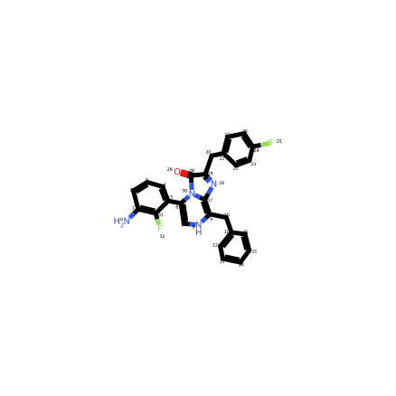 Nc1cccc(-c2c[nH]c(Cc3ccccc3)c3nc(Cc4ccc(F)cc4)c(=O)n2-3)c1F